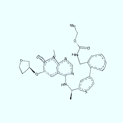 C[C@@H](Nc1ncnc2c1cc(O[C@H]1CCOC1)c(=O)n2C)c1cc(-c2ccccc2CNC(=O)OCC(C)(C)C)cs1